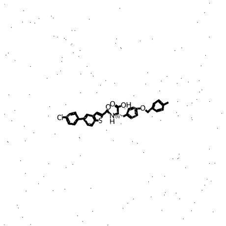 Cc1ccc(COc2ccc(C[C@H](NC(=O)c3cc4cc(-c5ccc(Cl)cc5)ccc4s3)C(=O)O)cc2)cc1